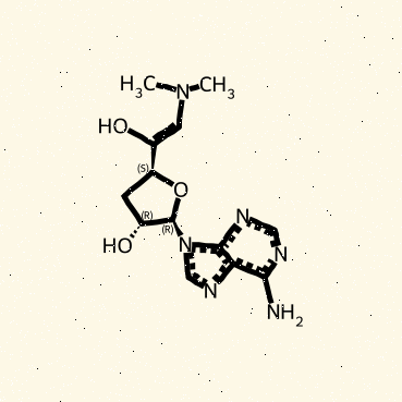 CN(C)C=C(O)[C@@H]1C[C@@H](O)[C@H](n2cnc3c(N)ncnc32)O1